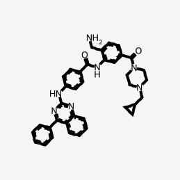 NCc1ccc(C(=O)N2CCN(CC3CC3)CC2)cc1NC(=O)c1ccc(Nc2nc(-c3ccccc3)c3ccccc3n2)cc1